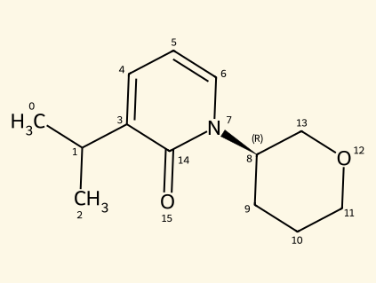 CC(C)c1cccn([C@@H]2CCCOC2)c1=O